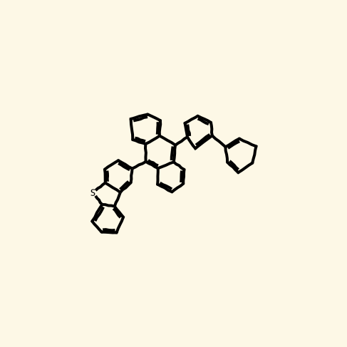 C1=CC(c2cccc(-c3c4ccccc4c(-c4ccc5sc6ccccc6c5c4)c4ccccc34)c2)=CCC1